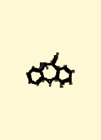 O=C1Nc2ccccc2Oc2nnccc21